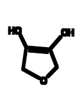 OC1=C(O)COC1